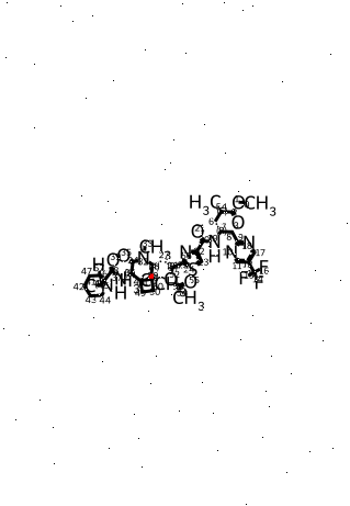 COC(=O)[C@@H](C)C[C@H](Cc1ncc(C(F)(F)F)cn1)NC(=O)c1csc([C@@H](C[C@H](C(C)C)N(C)C(=O)[C@@H](NC(=O)[C@H]2CC3CCN2CC3)C2CCC2)OC(C)=O)n1